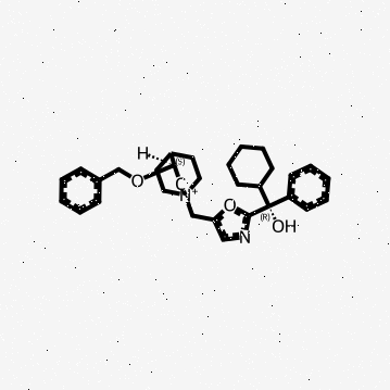 O[C@](c1ccccc1)(c1ncc(C[N+]23CCC(CC2)[C@H](OCc2ccccc2)C3)o1)C1CCCCC1